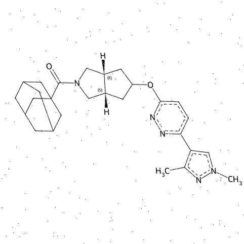 Cc1nn(C)cc1-c1ccc(OC2C[C@@H]3CN(C(=O)C45CC6CC(CC(C6)C4)C5)C[C@@H]3C2)nn1